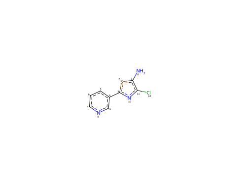 Nc1sc(-c2cccnc2)nc1Cl